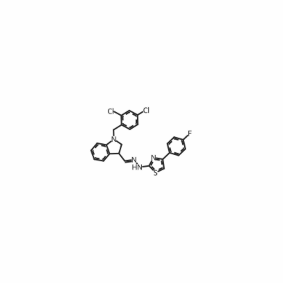 Fc1ccc(-c2csc(N/N=C/C3CN(Cc4ccc(Cl)cc4Cl)c4ccccc43)n2)cc1